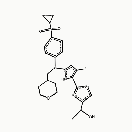 CC(O)c1cnc(-c2[nH]c(C(CC3CCOCC3)c3ccc(S(=O)(=O)C4CC4)cc3)cc2F)s1